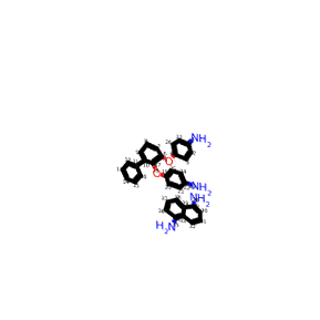 Nc1ccc(Oc2cccc(-c3ccccc3)c2Oc2ccc(N)cc2)cc1.Nc1cccc2c(N)cccc12